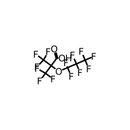 O=C(O)C(OC(F)(F)C(F)(F)C(F)(F)F)(C(F)(F)F)C(F)(F)F